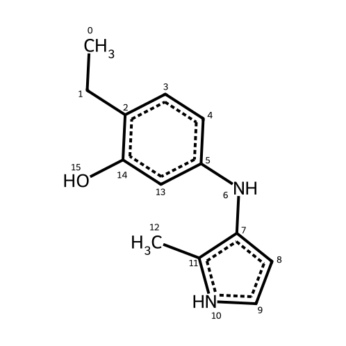 CCc1ccc(Nc2cc[nH]c2C)cc1O